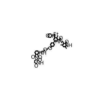 CCN(c1cc(-c2ccc(OCCOCCNc3cccc4c3C(=O)N(C3CCC(=O)NC3=O)C4=O)cc2)cc(C(=O)NCc2c(C)cc(C)[nH]c2=O)c1C)C1CCOCC1